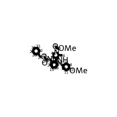 COC(=O)N1CC[C@](NNc2ccc(OC)cc2)(c2ccccc2NC(=O)OCc2ccccc2)C1C